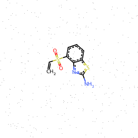 C=CS(=O)(=O)c1cccc2sc(N)nc12